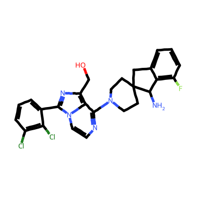 NC1c2c(F)cccc2CC12CCN(c1nccn3c(-c4cccc(Cl)c4Cl)nc(CO)c13)CC2